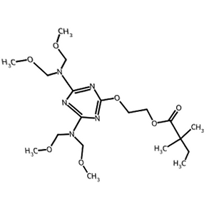 CCC(C)(C)C(=O)OCCOc1nc(N(COC)COC)nc(N(COC)COC)n1